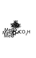 COc1cc(C=CC(=O)O)c(CCC(C)[Si](O[Si](C)(C)C)(O[Si](C)(C)C)O[Si](C)(C)C)c(OC)c1OC